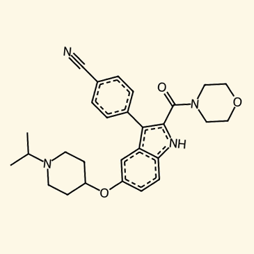 CC(C)N1CCC(Oc2ccc3[nH]c(C(=O)N4CCOCC4)c(-c4ccc(C#N)cc4)c3c2)CC1